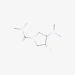 CN(C)C(=O)N1CC(F)C(N(C)C)C1